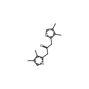 Cc1csc(CC(=O)Cc2scc(C)c2C)c1C